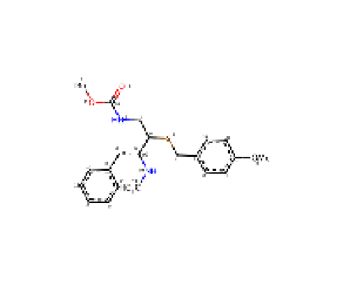 COc1ccc(CSC(CNC(=O)OC(C)(C)C)[C@@H](Cc2ccccc2)NC(=O)O)cc1